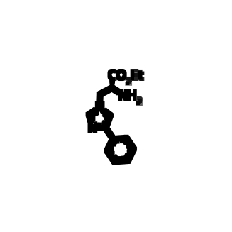 CCOC(=O)[C@@H](N)Cn1cnc(-c2ccccc2)c1